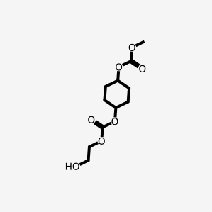 COC(=O)OC1CCC(OC(=O)OCCO)CC1